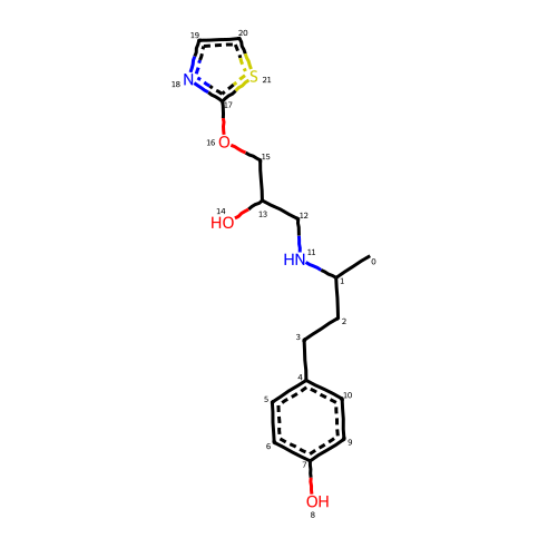 CC(CCc1ccc(O)cc1)NCC(O)COc1nccs1